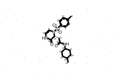 Cc1ccc(S(=O)(=O)N2C=CNC(=O)[C@H]2CC(=O)NC2CCC(C)CC2)cc1